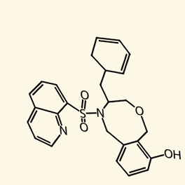 O=S(=O)(c1cccc2cccnc12)N1Cc2cccc(O)c2COCC1CC1C=CC=CC1